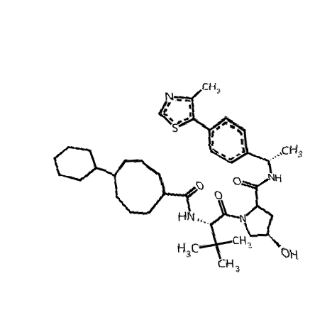 Cc1ncsc1-c1ccc([C@H](C)NC(=O)C2C[C@@H](O)CN2C(=O)[C@@H](NC(=O)C2CCCC(C3CCCCC3)CCC2)C(C)(C)C)cc1